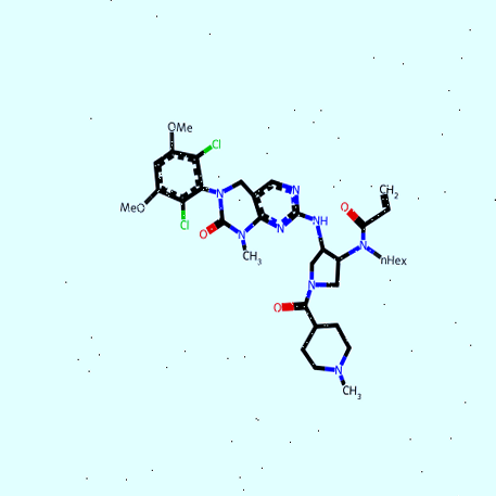 C=CC(=O)N(CCCCCC)C1CN(C(=O)C2CCN(C)CC2)CC1Nc1ncc2c(n1)N(C)C(=O)N(c1c(Cl)c(OC)cc(OC)c1Cl)C2